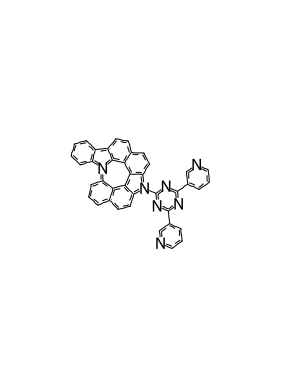 c1cncc(-c2nc(-c3cccnc3)nc(-n3c4ccc5cccc6c5c4c4c5c(ccc7c8ccccc8n6c75)ccc43)n2)c1